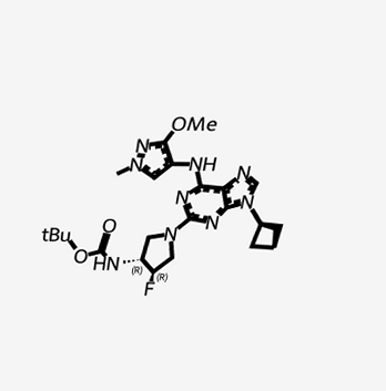 COc1nn(C)cc1Nc1nc(N2C[C@@H](F)[C@H](NC(=O)OC(C)(C)C)C2)nc2c1ncn2C12CC(C1)C2